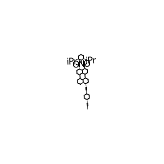 CC#Cc1ccc(C#Cc2ccc3c4ccc5c6c(ccc(c7cccc2c73)c64)C(=O)N(c2c(C(C)C)cccc2C(C)C)C5=O)cc1